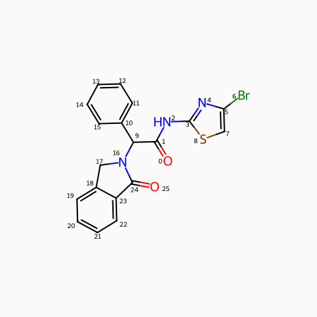 O=C(Nc1nc(Br)cs1)C(c1ccccc1)N1Cc2ccccc2C1=O